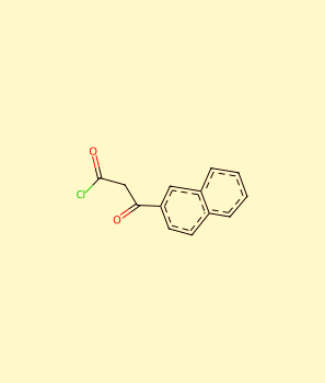 O=C(Cl)CC(=O)c1ccc2ccccc2c1